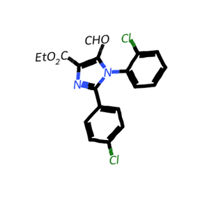 CCOC(=O)c1nc(-c2ccc(Cl)cc2)n(-c2ccccc2Cl)c1C=O